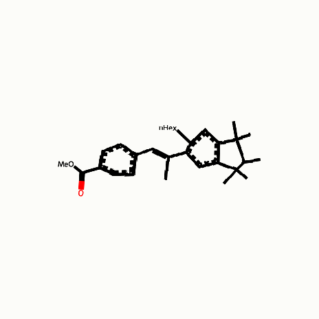 CCCCCCc1cc2c(cc1C(C)=Cc1ccc(C(=O)OC)cc1)C(C)(C)C(C)C2(C)C